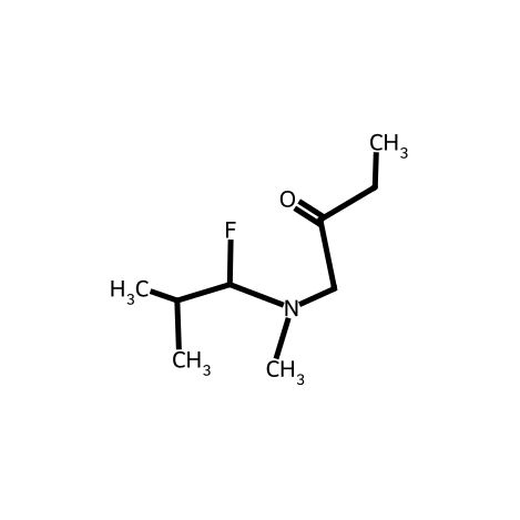 CCC(=O)CN(C)C(F)C(C)C